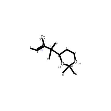 C/C=C(\CC)C(C)(C)C1CCOC(C)(C)O1